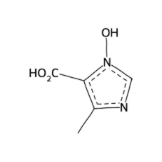 Cc1ncn(O)c1C(=O)O